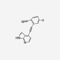 N#Cc1ccc(F)cc1C#Cc1ccnc2[nH]ccc12